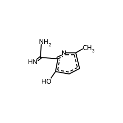 Cc1ccc(O)c(C(=N)N)n1